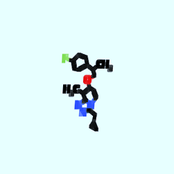 Cc1c(OCC(C)c2ccc(F)cc2)ccn2c(CC3CC3)nnc12